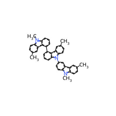 Cc1ccc2c(c1)c1cc(-n3c4ccc(C)cc4c4c(-c5cccc6c5c5cc(C)ccc5n6C)cccc43)ccc1n2C